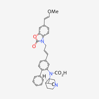 CO/C=C/c1ccc2c(c1)oc(=O)n2C/C=C/c1ccc(-c2ccccc2)c(N(C(=O)O)[C@H]2CN3CCC2CC3)c1